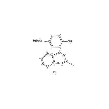 COc1ccc(O)cc1.Cl.Cl.Fc1ccc2ncccc2c1